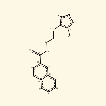 Cn1nnnc1SCCCC(=O)c1ccc2ccccc2c1